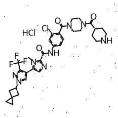 Cl.Cn1c(-c2cn(C3CC4(CC4)C3)nc2C(F)(F)F)cnc1C(=O)Nc1ccc(C(=O)N2CCN(C(=O)C3CCNCC3)CC2)c(Cl)c1